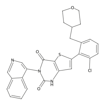 O=c1[nH]c2cc(-c3c(Cl)cccc3CC3CCOCC3)sc2c(=O)n1-c1cncc2ccccc12